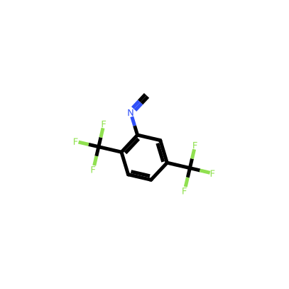 C=Nc1cc(C(F)(F)F)ccc1C(F)(F)F